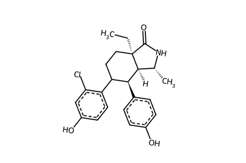 CC[C@@]12CCC(c3ccc(O)cc3Cl)[C@H](c3ccc(O)cc3)[C@@H]1[C@@H](C)NC2=O